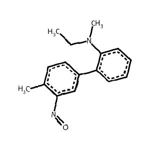 CCN(C)c1ccccc1-c1ccc(C)c(N=O)c1